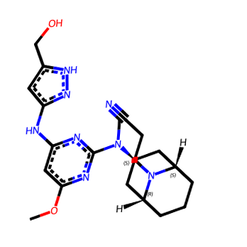 COc1cc(Nc2cc(CO)[nH]n2)nc(N(C)[C@@H]2C[C@H]3CCC[C@@H](C2)N3CCC#N)n1